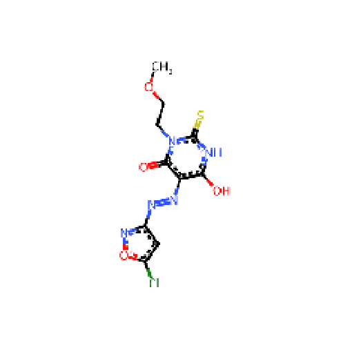 COCCn1c(=S)[nH]c(O)c(N=Nc2cc(Cl)on2)c1=O